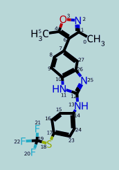 Cc1noc(C)c1-c1ccc2[nH]c(Nc3ccc(SC(F)(F)F)cc3)nc2c1